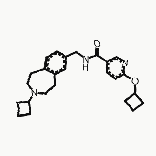 O=C(NCc1ccc2c(c1)CCN(C1CCC1)CC2)c1ccc(OC2CCC2)nc1